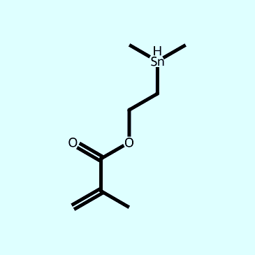 C=C(C)C(=O)OC[CH2][SnH]([CH3])[CH3]